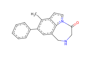 Cc1c(-c2ccccc2)cc2c3c1ccn3C(=O)CNC2